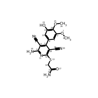 COc1cc(-c2c(C#N)c(N)nc(SCC(N)=O)c2C#N)cc(O)c1OC